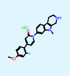 COc1ccc(-c2ccn(-c3ccc4c5c(n(C)c4c3)CNCC5)c(=O)c2)c(F)c1.Cl